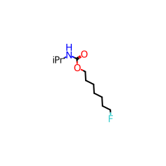 CC(C)NC(=O)OCCCCCCCF